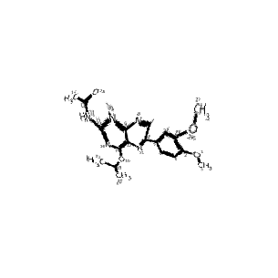 COc1ccc(-c2cnc3nc(NC(C)=O)nc(OC(C)C)c3n2)cc1OC